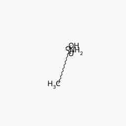 CCCCCCCCCCCCCCCCCC(=O)c1cccc(O)c1N